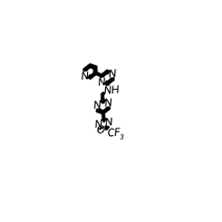 FC(F)(F)c1nc(-c2cnc(CNc3cncc(-c4cccnc4)n3)nc2)no1